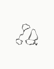 C(=Cc1ccccn1)c1ccccc1.c1ccc2ncccc2c1